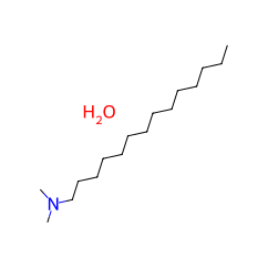 CCCCCCCCCCCCCCN(C)C.O